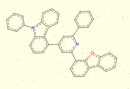 c1ccc(-c2cc(-c3cccc4c3c3ccccc3n4-c3ccccc3)cc(-c3cccc4c3oc3ccccc34)n2)cc1